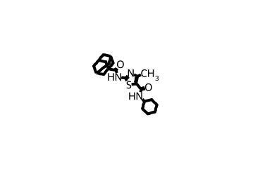 Cc1nc(NC(=O)C23CC4CC(CC(C4)C2)C3)sc1C(=O)NC1CCCCC1